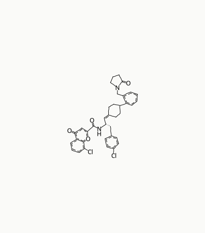 O=C(N[C@H](C=C1CCC(c2ccccc2CN2CCCC2=O)CC1)Cc1ccc(Cl)cc1)c1cc(=O)c2cccc(Cl)c2o1